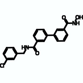 O=C(NO)c1cccc(-c2cccc(C(=O)NCc3cccc(Cl)c3)c2)c1